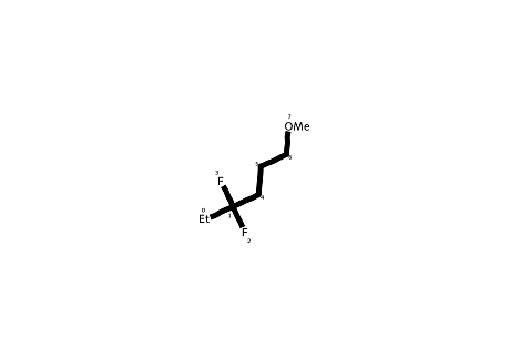 CCC(F)(F)CCCOC